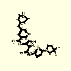 C=C(Nc1c[nH]nc1C(=C)Nc1ccc(N2CCC(F)(F)C2)nc1)c1cncc(CC2CCNCC2)c1